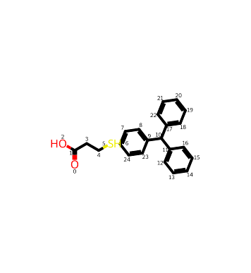 O=C(O)CCS.c1ccc(C(c2ccccc2)c2ccccc2)cc1